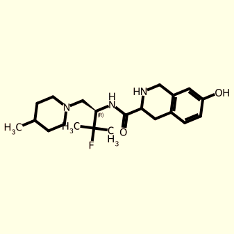 CC1CCN(C[C@@H](NC(=O)C2Cc3ccc(O)cc3CN2)C(C)(C)F)CC1